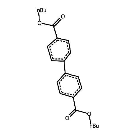 CCCCOC(=O)c1ccc(-c2ccc(C(=O)OCCCC)cc2)cc1